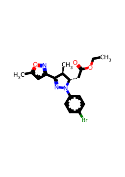 CCOC(=O)C[C@H]1[C@H](C)C(c2cc(C)on2)=NN1c1ccc(Br)cc1